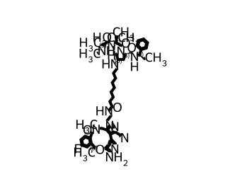 CC[C@@H](NC(=O)[C@@H]1C[C@H](NCCCCCCCCC(=O)NCCn2nc(C#N)c3c2CN(C)C(=O)c2ccc(F)cc2[C@@H](C)Oc2cc-3cnc2N)CN1C(=O)[C@@H](NC(=O)[C@H](C)NC)C(C)(C)C)c1ccccc1